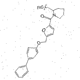 CCOC(=O)C1CCCCN1C(=O)c1ccc(COc2ccc(-c3ccccc3)cc2)o1